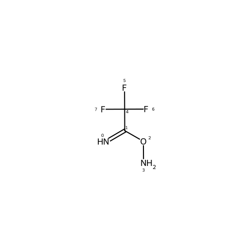 N=C(ON)C(F)(F)F